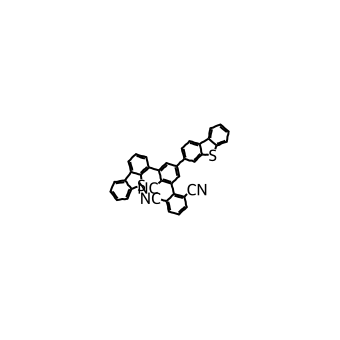 N#Cc1cccc(C#N)c1-c1cc(-c2ccc3c(c2)sc2ccccc23)cc(-c2cccc3c2sc2ccccc23)c1C#N